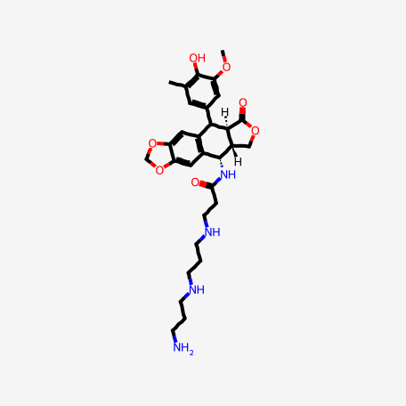 COc1cc(C2c3cc4c(cc3[C@@H](NC(=O)CCNCCCNCCCN)[C@H]3COC(=O)[C@H]23)OCO4)cc(C)c1O